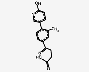 Cc1cc(C2=NNC(=O)CC2)ccc1-c1ccc(O)nc1